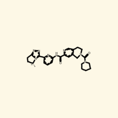 C[C@@H]1CCc2nnc(-c3cccc(NC(=O)c4cc5c(cn4)CCN(C(=O)N4CCCCC4)C5)n3)n21